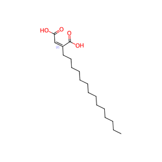 CCCCCCCCCCCCCC/C(=C/C(=O)O)C(=O)O